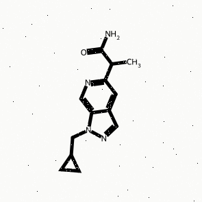 CC(C(N)=O)c1cc2cnn(CC3CC3)c2cn1